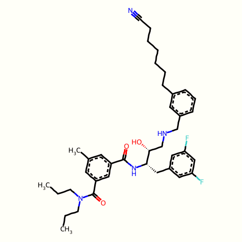 CCCN(CCC)C(=O)c1cc(C)cc(C(=O)N[C@@H](Cc2cc(F)cc(F)c2)[C@H](O)CNCc2cccc(CCCCCCC#N)c2)c1